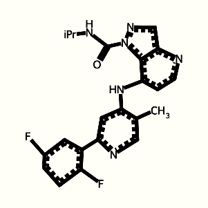 Cc1cnc(-c2cc(F)ccc2F)cc1Nc1ccnc2cnn(C(=O)NC(C)C)c12